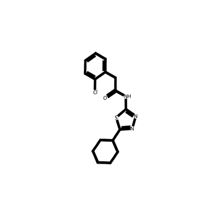 O=C(Cc1ccccc1Cl)Nc1nnc(C2CCCCC2)s1